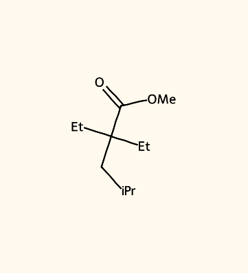 CCC(CC)(CC(C)C)C(=O)OC